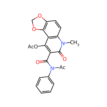 CC(=O)Oc1c(C(=O)N(C(C)=O)c2ccccc2)c(=O)n(C)c2ccc3c(c12)OCO3